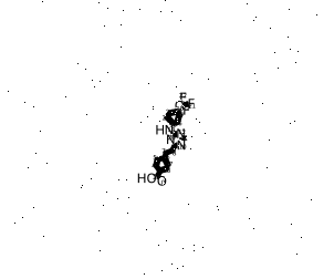 O=C(O)c1ccc(CCc2ncnc(Nc3ccc(OC(F)(F)F)cc3)n2)cc1